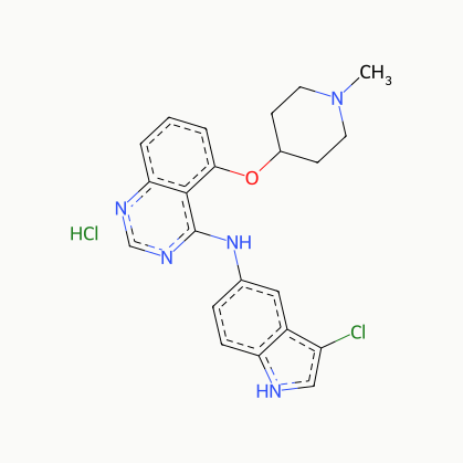 CN1CCC(Oc2cccc3ncnc(Nc4ccc5[nH]cc(Cl)c5c4)c23)CC1.Cl